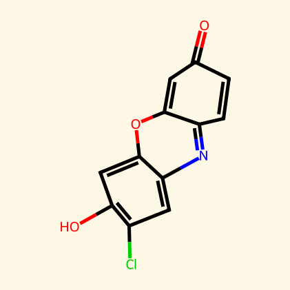 O=c1ccc2nc3cc(Cl)c(O)cc3oc-2c1